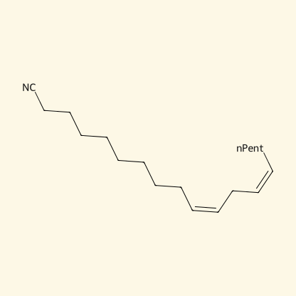 CCCCC/C=C\C/C=C\CCCCCCCCC#N